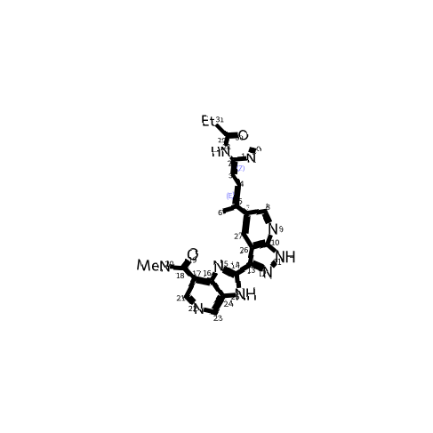 C=N/C(=C\C=C(/C)c1cnc2[nH]nc(-c3nc4c(C(=O)NC)cncc4[nH]3)c2c1)NC(=O)CC